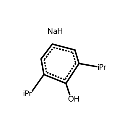 CC(C)c1cccc(C(C)C)c1O.[NaH]